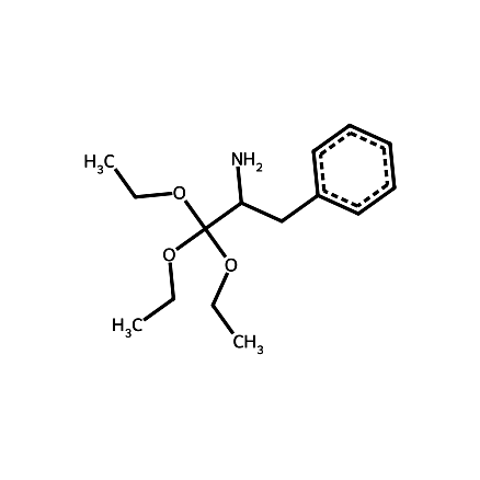 CCOC(OCC)(OCC)C(N)Cc1ccccc1